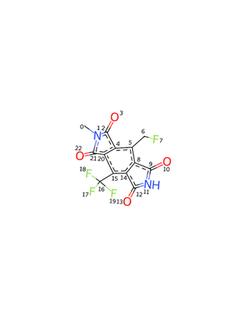 Cn1c(=O)c2c(CF)c3c(=O)[nH]c(=O)c3c(C(F)(F)F)c2c1=O